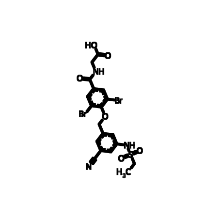 CCS(=O)(=O)Nc1cc(C#N)cc(COc2c(Br)cc(C(=O)NCC(=O)O)cc2Br)c1